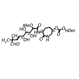 CCCCCCCCCCOC(=O)O[C@@H]1CC[C@H](NC(=O)[C@H](OC)[C@H](O)[C@@H](O)[C@H](O)/C=C/C(C)(C)C=O)C(=O)NC1